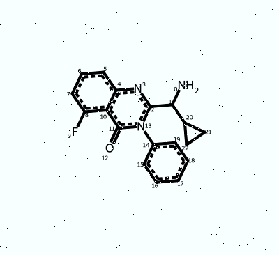 NC(c1nc2cccc(F)c2c(=O)n1-c1ccccc1)C1CC1